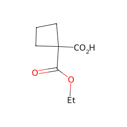 CCOC(=O)C1(C(=O)O)CCC1